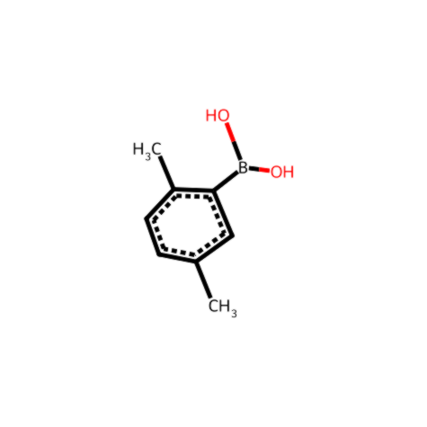 Cc1ccc(C)c(B(O)O)c1